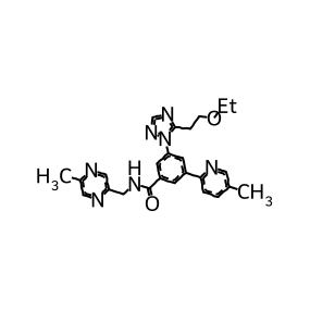 CCOCCc1ncnn1-c1cc(C(=O)NCc2cnc(C)cn2)cc(-c2ccc(C)cn2)c1